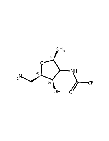 C[C@@H]1O[C@H](CN)[C@H](O)C1NC(=O)C(F)(F)F